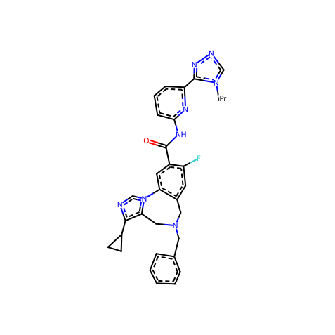 CC(C)n1cnnc1-c1cccc(NC(=O)c2cc3c(cc2F)CN(Cc2ccccc2)Cc2c(C4CC4)ncn2-3)n1